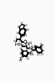 CCC(C(=O)N[C@@H](Cc1cc(F)cc(F)c1)[C@H](O)CNCc1cccc(I)c1)c1ccc2c(c1)CCC2